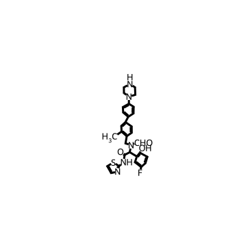 Cc1cc(-c2ccc(N3CCNCC3)cc2)ccc1CN(C=O)C(C(=O)Nc1nccs1)c1cc(F)ccc1O